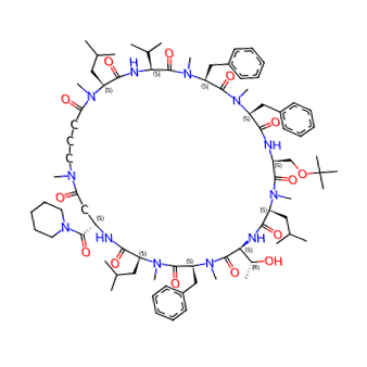 CC(C)C[C@H]1C(=O)N[C@@H](C(C)C)C(=O)N(C)[C@@H](Cc2ccccc2)C(=O)N(C)[C@@H](Cc2ccccc2)C(=O)N[C@@H](COC(C)(C)C)C(=O)N(C)[C@@H](CC(C)C)C(=O)N[C@@H]([C@@H](C)O)C(=O)N(C)[C@@H](Cc2ccccc2)C(=O)N(C)[C@@H](CC(C)C)C(=O)N[C@H](C(=O)N2CCCCC2)CC(=O)N(C)CCCC(=O)N1C